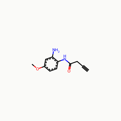 C#CCC(=O)Nc1ccc(OC)cc1N